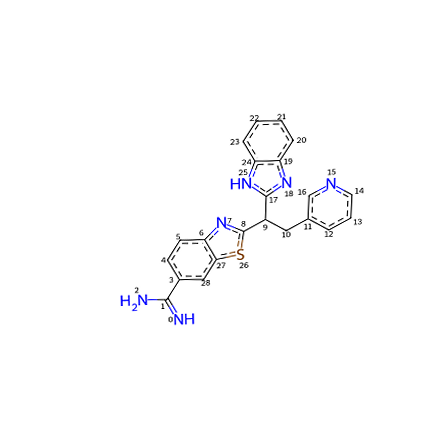 N=C(N)c1ccc2nc(C(Cc3cccnc3)c3nc4ccccc4[nH]3)sc2c1